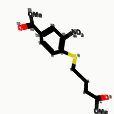 COC(=O)CCCSc1ccc(C(=O)OC)cc1[N+](=O)[O-]